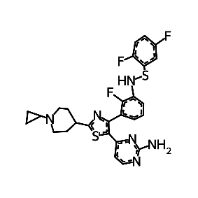 Nc1nccc(-c2sc(C3CCN(C4CC4)CC3)nc2-c2cccc(NSc3cc(F)ccc3F)c2F)n1